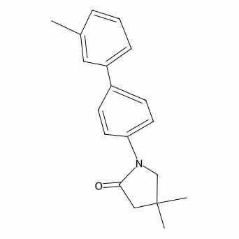 Cc1cccc(-c2ccc(N3CC(C)(C)CC3=O)cc2)c1